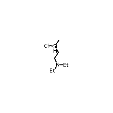 CCN(CC)CC[SiH](C)Cl